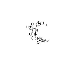 COC(=O)N[C@H]1CCCC[C@H]1Nc1nc(-c2cnn(C)c2)c2c(c1Cl)CNC2=O